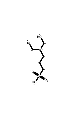 O=S(=O)(O)CCCN(CO)CO